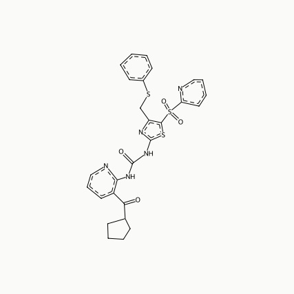 O=C(Nc1nc(CSc2ccccc2)c(S(=O)(=O)c2ccccn2)s1)Nc1ncccc1C(=O)C1CCCC1